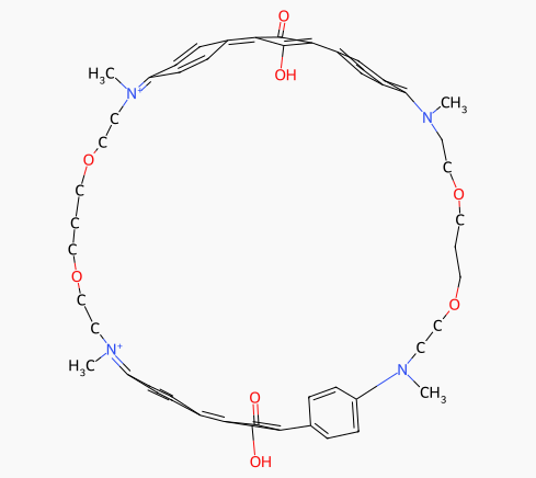 CN1CCOCCCOCCN(C)c2ccc(cc2)C2=C(O)C(=c3ccc(cc3)=[N+](C)CCOCCCOCC[N+](C)=c3ccc(cc3)=C3C(=O)C(=C3O)c3ccc1cc3)C2=O